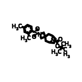 Cc1ccc(S(=O)(=O)N2CC3(CC4CCC(C3)N4C(=O)OC(C)(C)C)C2)c(C)c1